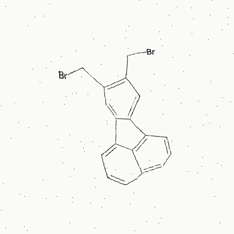 BrCc1cc2c(cc1CBr)-c1cccc3cccc-2c13